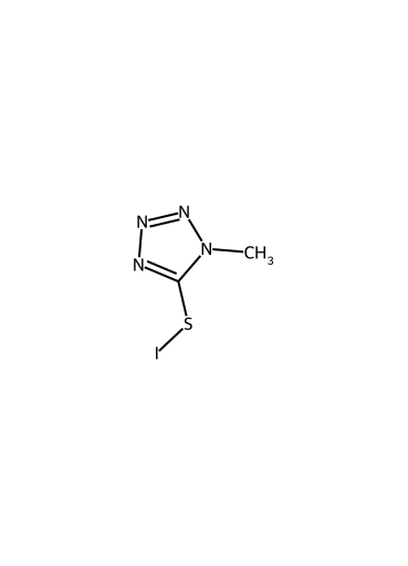 Cn1nnnc1SI